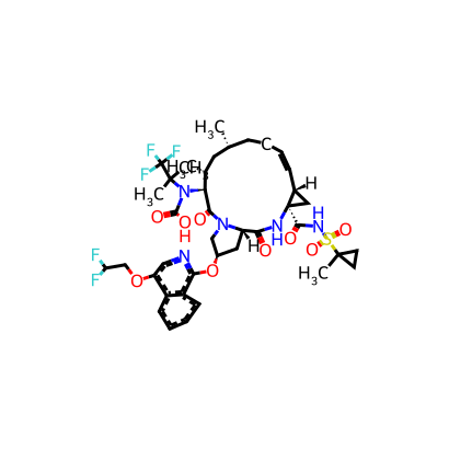 C[C@@H]1CCC=C[C@@H]2C[C@@]2(C(=O)NS(=O)(=O)C2(C)CC2)NC(=O)[C@@H]2C[C@@H](Oc3ncc(OCC(F)F)c4ccccc34)CN2C(=O)[C@@H](N(C(=O)O)C(C)(C)C(F)(F)F)[C@H](C)C1